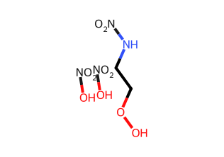 O=[N+]([O-])NCCOO.O=[N+]([O-])O.O=[N+]([O-])O